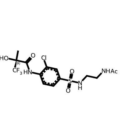 CC(=O)NCCNS(=O)(=O)c1ccc(NC(=O)[C@@](C)(O)C(F)(F)F)c(Cl)c1